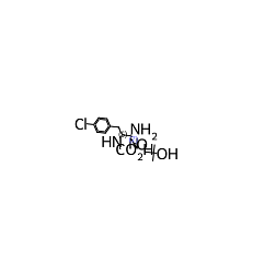 CC(C)(O)CO/N=C(\N)[C@H](Cc1ccc(Cl)cc1)NC(=O)O